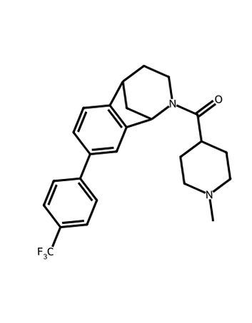 CN1CCC(C(=O)N2CCC3CC2c2cc(-c4ccc(C(F)(F)F)cc4)ccc23)CC1